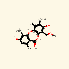 CCOCc1c(O)c(C(=O)O)c(C)c2c1OC(=O)c1c(C)cc(O)c(C=O)c1O2